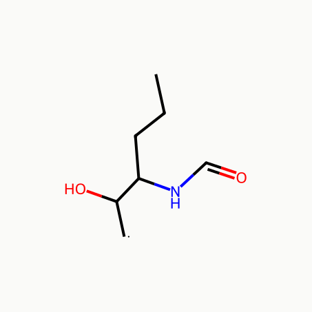 [CH2]C(O)C(CCC)NC=O